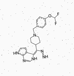 N=N/C(=C1\NC=Nc2[nH]ccc21)C1CCN(Cc2ccc(OC(F)F)cc2)CC1